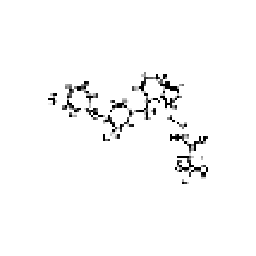 CC(C)(C(=O)NCCn1ccc2ncnc(NC3C=CC(Oc4cccc(Cl)c4)=C(Cl)C3)c21)S(C)(=O)=O